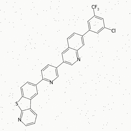 FC(F)(F)c1cc(Cl)cc(-c2ccc3cc(-c4ccc(-c5ccc6sc7ncccc7c6c5)nc4)cnc3c2)c1